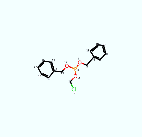 ClCOP(OCc1ccccc1)OCc1ccccc1